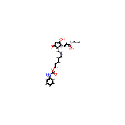 CCCCC[C@H](O)/C=C/[C@H]1[C@H](O)CC(=O)[C@@H]1C/C=C\CCCCOC(=O)Nc1ccccc1